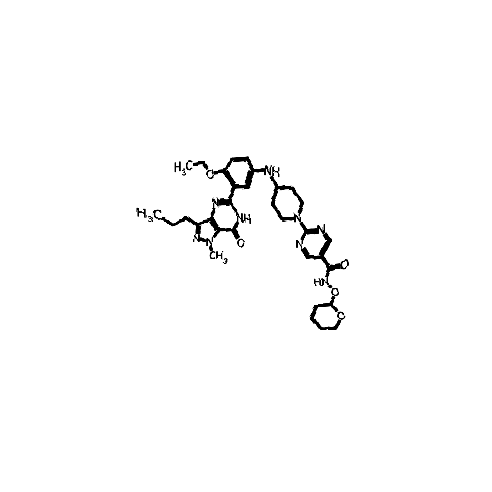 CCCc1nn(C)c2c(=O)[nH]c(-c3cc(NC4CCN(c5ncc(C(=O)NOC6CCCCO6)cn5)CC4)ccc3OCC)nc12